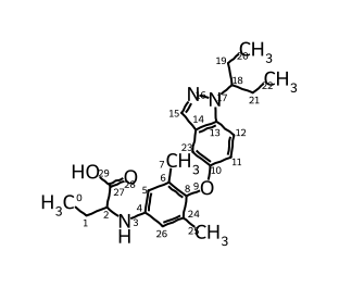 CCC(Nc1cc(C)c(Oc2ccc3c(cnn3C(CC)CC)c2)c(C)c1)C(=O)O